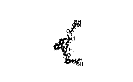 CCCCc1nc(Cl)c(COC(=O)CCCON(O)O)n1Cc1ccc(-c2ccccc2-c2nnn(COC(=O)Oc3cccc(CON(O)O)c3)n2)cc1